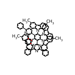 Cc1ccc2c(c1)c1ccccc1n2-c1c(-c2nc(-c3ccccc3)nc(-c3ccccc3)n2)c(-n2c3ccccc3c3cc(C)ccc32)c(-n2c3ccccc3c3cc(C)ccc32)c(-n2c3ccccc3c3cc(C)ccc32)c1-c1ccc(-c2ccccc2)nc1-c1ccccc1